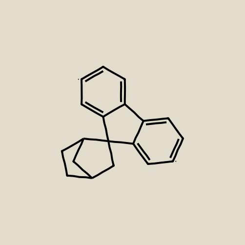 [c]1ccc2c(c1)C1(CC3CCC1C3)c1c[c]ccc1-2